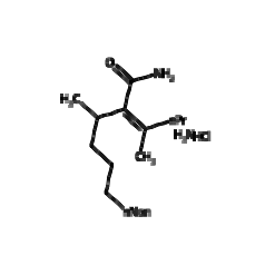 CCCCCCCCCCCCC(C)C(C(N)=O)=C(C)CCC.Cl.N